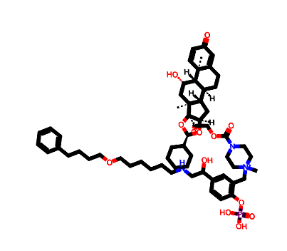 C[C@]12C=CC(=O)C=C1CC[C@@H]1[C@@H]2[C@@H](O)C[C@@]2(C)[C@H]1C[C@H]1O[C@@H](C3CCCCC3)O[C@]12C(=O)COC(=O)N1CC[N+](C)(Cc2cc(C(O)CNCCCCCCOCCCCc3ccccc3)ccc2OP(=O)(O)O)CC1